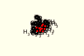 CC1(C)c2ccccc2-c2c(-c3cc(-c4cccc5c4-c4ccccc4C5(C)C)cc(C4(c5cc(-c6cccc7c6-c6ccccc6C7(C)C)cc(-c6cccc7c6-c6ccccc6C7(C)C)c5)c5cc6c(cc5-c5c4ccc4oc7ccccc7c54)OCO6)c3)cccc21